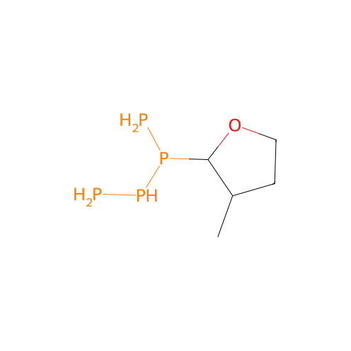 CC1CCOC1P(P)PP